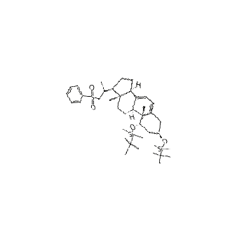 CC(CS(=O)(=O)c1ccccc1)[C@H]1CC[C@H]2C3=CC=C4C[C@@H](O[Si](C)(C)C(C)(C)C)C[C@H](O[Si](C)(C)C(C)(C)C)[C@]4(C)[C@H]3CC[C@]12C